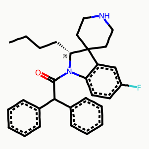 CCCC[C@H]1N(C(=O)C(c2ccccc2)c2ccccc2)c2ccc(F)cc2C12CCNCC2